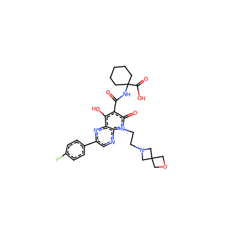 O=C(NC1(C(=O)O)CCCCC1)c1c(O)c2nc(-c3ccc(F)cc3)cnc2n(CCN2CC3(COC3)C2)c1=O